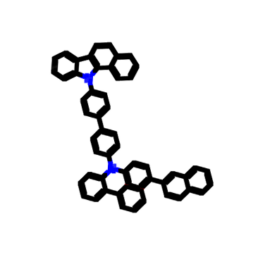 c1ccc(-c2ccccc2N(c2ccc(-c3ccc(-n4c5ccccc5c5ccc6ccccc6c54)cc3)cc2)c2ccc(-c3ccc4ccccc4c3)cc2)cc1